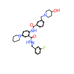 O=C(Nc1ccc(N2CCCCC2)cc1C(=O)N/N=C/c1cccc(F)c1)c1cccc(CN2CCC(O)CC2)c1